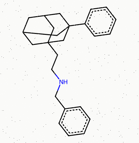 c1ccc(CNCCC23CC4CC(C2)CC(c2ccccc2)(C4)C3)cc1